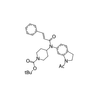 CC(=O)N1CCc2ccc(N(C(=O)C=Cc3ccccc3)C3CCN(C(=O)OC(C)(C)C)CC3)cc21